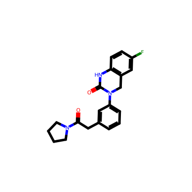 O=C(Cc1cccc(N2Cc3cc(F)ccc3NC2=O)c1)N1CCCC1